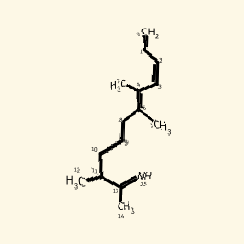 C=C/C=C\C(C)=C(/C)CCCC(C)C(C)=N